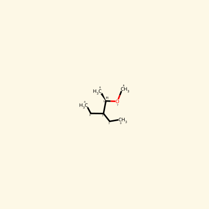 CCC(CC)[C@@H](C)OC